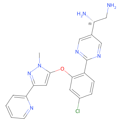 Cn1nc(-c2ccccn2)cc1Oc1cc(Cl)ccc1-c1ncc([C@H](N)CN)cn1